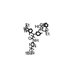 CCC1CN(Cc2cc(C(c3ccc4c(nnn4CC)c3C)C(C)(C)C(=O)Nc3cnc(C(C)(C)O[Si](C)(C)C(C)(C)C)nc3)ccc2C)S(O)(O)c2ccccc2O1